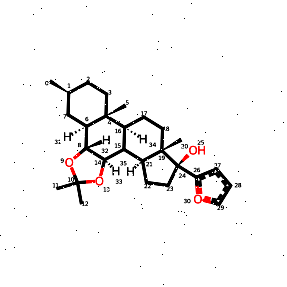 C[C@H]1CC[C@@]2(C)[C@H](C1)[C@H]1OC(C)(C)O[C@@H]1C1[C@@H]2CC[C@@]2(C)[C@H]1CC[C@@]2(O)c1ccco1